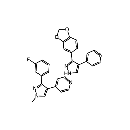 Cn1cc(-c2ccncc2)c(-c2cccc(F)c2)n1.c1cc(-c2c[nH]nc2-c2ccc3c(c2)OCO3)ccn1